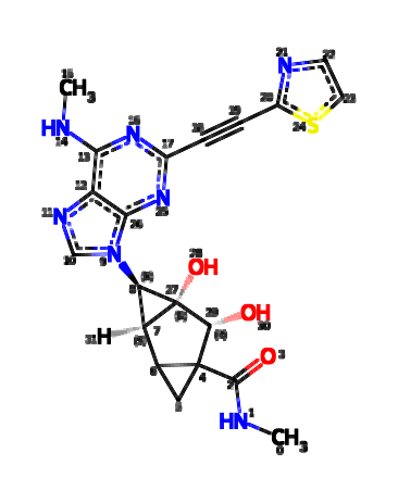 CNC(=O)C12CC1[C@H]1[C@@H](n3cnc4c(NC)nc(C#Cc5nccs5)nc43)[C@@]1(O)[C@@H]2O